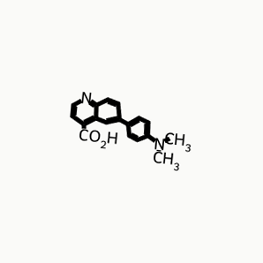 CN(C)c1ccc(-c2ccc3nccc(C(=O)O)c3c2)cc1